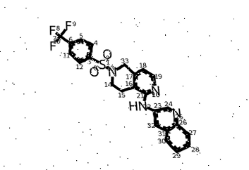 O=S(=O)(c1ccc(C(F)(F)F)cc1)N1CCc2c(ccnc2Nc2cnc3ccccc3c2)C1